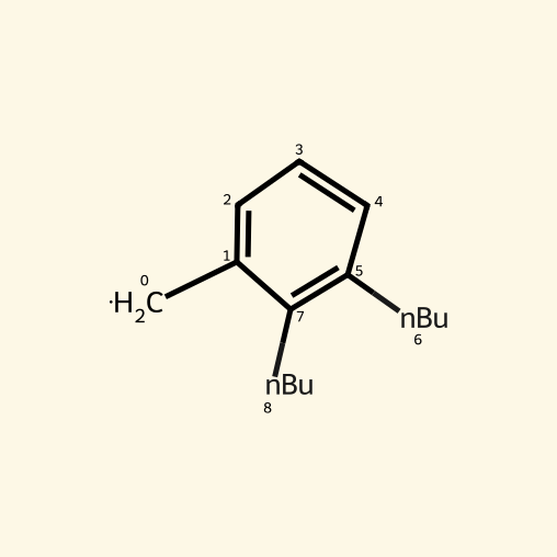 [CH2]c1cccc(CCCC)c1CCCC